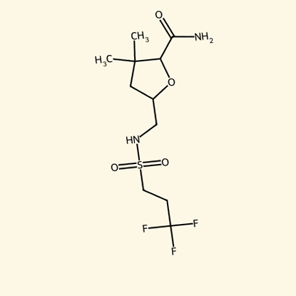 CC1(C)CC(CNS(=O)(=O)CCC(F)(F)F)OC1C(N)=O